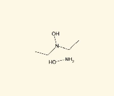 CCN(O)CC.NO